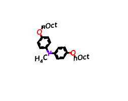 C.CCCCCCCCOc1ccc([I+]c2ccc(OCCCCCCCC)cc2)cc1